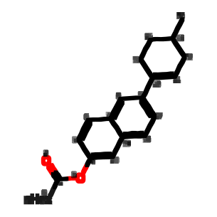 CCCCCCC(=O)Oc1ccc2cc(C3=CCC(C)CC3)ccc2c1